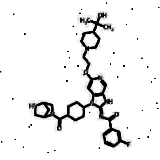 CC(C)(O)C1CCN(CCOc2cc3c(cn2)[nH]/c(=N\C(=O)c2cccc(F)c2)n3C2CCC(C(=O)N3CC4CC3CN4)CC2)CC1